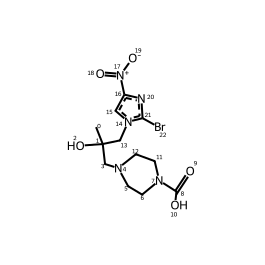 CC(O)(CN1CCN(C(=O)O)CC1)Cn1cc([N+](=O)[O-])nc1Br